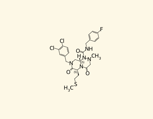 CSCC[C@H]1C(=O)N(Cc2ccc(Cl)c(Cl)c2)C[C@H]2N1C(=O)CN(C)N2C(=O)NCc1ccc(F)cc1